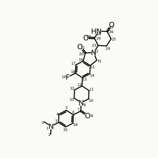 CN(C)c1ccc(C(=O)N2CCC(c3cc4c(cc3F)C(=O)N(C3CCC(=O)NC3=O)C4)CC2)cc1